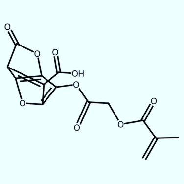 C=C(C)C(=O)OCC(=O)Oc1c2c3oc1c(C(=O)O)c3C(=O)O2